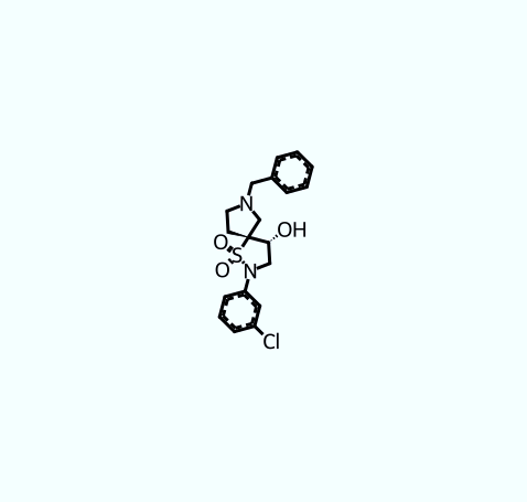 O=S1(=O)N(c2cccc(Cl)c2)C[C@@H](O)[C@]12CCN(Cc1ccccc1)C2